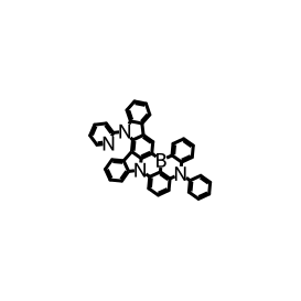 c1ccc(N2c3ccccc3B3c4c2cccc4-n2c4ccccc4c4c2c3cc2c3ccccc3n(-c3ccccn3)c24)cc1